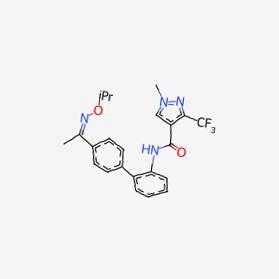 C/C(=N/OC(C)C)c1ccc(-c2ccccc2NC(=O)c2cn(C)nc2C(F)(F)F)cc1